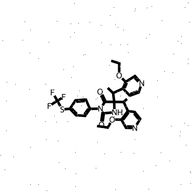 CCOc1cnccc1C(C)C1(C(C)c2ccncc2OCC)NC(=O)N(c2ccc(SC(F)(F)F)cc2)C1=O